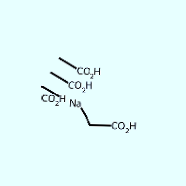 CC(=O)O.CC(=O)O.CC(=O)O.O=C(O)[CH2][Na]